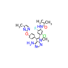 C=C(C)C(=O)Nc1cc(Cl)c(-c2c(-c3ccc(Oc4nccc(C)n4)cc3)c3c(N)ncnc3n2C)cc1F